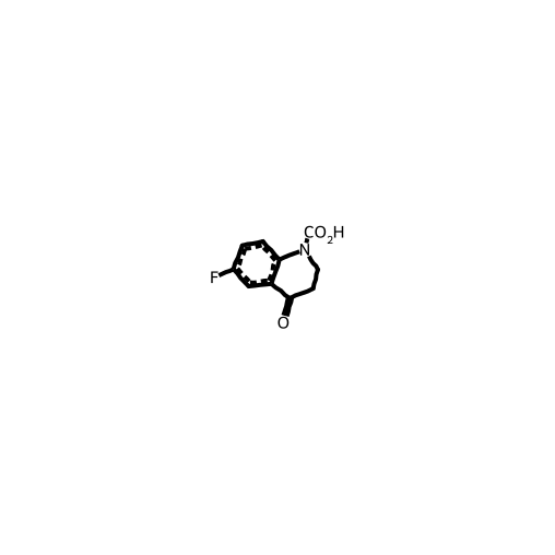 O=C1CCN(C(=O)O)c2ccc(F)cc21